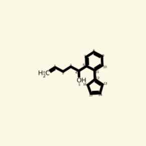 C=CCCC(O)c1ccccc1C1=CC=CC1